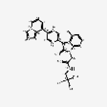 Cc1cccc2c1n(-c1cnc(-c3cccn4cncc34)cn1)c(=O)n2CC(=O)NCC(F)(F)F